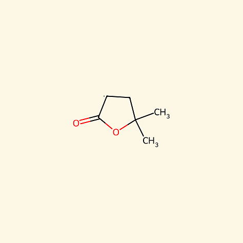 CC1(C)C[CH]C(=O)O1